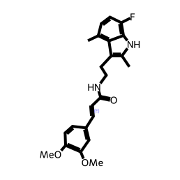 COc1ccc(/C=C/C(=O)NCCc2c(C)[nH]c3c(F)ccc(C)c23)cc1OC